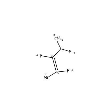 CC(F)/C(F)=C(\F)Br